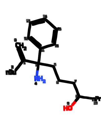 C=C(CCCC)C(N)(CCCC(O)CCC)c1ccccc1